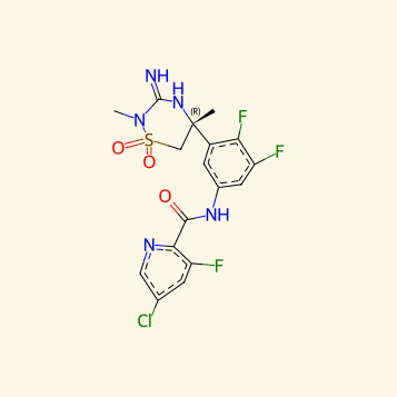 CN1C(=N)N[C@](C)(c2cc(NC(=O)c3ncc(Cl)cc3F)cc(F)c2F)CS1(=O)=O